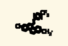 [CH2]C1C=c2ccc3c(c2CC1)C(CCc1cnc(C(F)(F)F)cn1)C=c1cc(Cl)ccc1=3